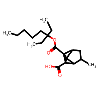 CCCCCC(CC)(CC)OC(=O)C1=C(C(=O)O)C2CC1CC2C